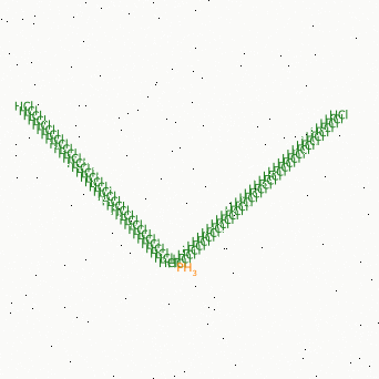 Cl.Cl.Cl.Cl.Cl.Cl.Cl.Cl.Cl.Cl.Cl.Cl.Cl.Cl.Cl.Cl.Cl.Cl.Cl.Cl.Cl.Cl.Cl.Cl.Cl.Cl.Cl.Cl.Cl.Cl.Cl.Cl.Cl.Cl.Cl.Cl.Cl.Cl.Cl.Cl.Cl.Cl.Cl.Cl.Cl.Cl.Cl.Cl.Cl.Cl.Cl.Cl.Cl.Cl.Cl.Cl.Cl.Cl.Cl.Cl.Cl.Cl.Cl.Cl.Cl.Cl.Cl.Cl.Cl.P